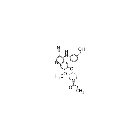 C=CC(=O)N1CCC(Oc2cc3c(Nc4cccc(CO)c4)c(C#N)cnc3cc2OC)CC1